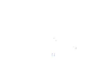 C[Si]1(C)c2cnc(-c3ccccc3)nc2-c2c1ccc1ccccc21